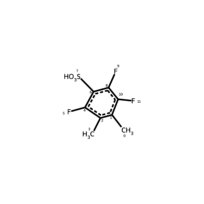 Cc1c(C)c(F)c(S(=O)(=O)O)c(F)c1F